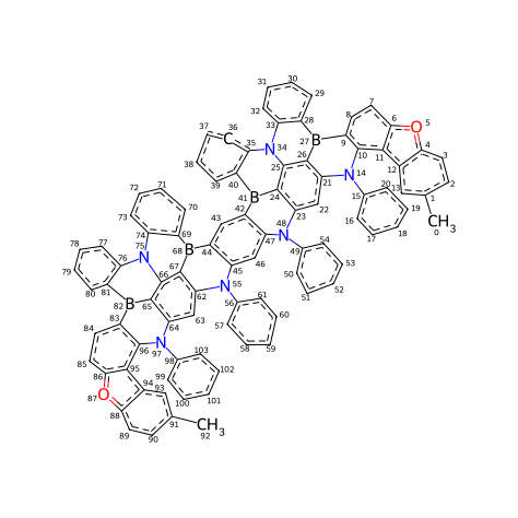 Cc1ccc2oc3ccc4c(c3c2c1)N(c1ccccc1)c1cc2c3c5c1B4c1ccccc1N5c1ccccc1B3c1cc3c(cc1N2c1ccccc1)N(c1ccccc1)c1cc2c4c5c1B3c1ccccc1N5c1ccccc1B4c1ccc3oc4ccc(C)cc4c3c1N2c1ccccc1